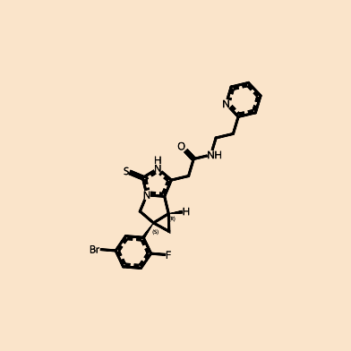 O=C(Cc1[nH]c(=S)n2c1[C@@H]1C[C@]1(c1cc(Br)ccc1F)C2)NCCc1ccccn1